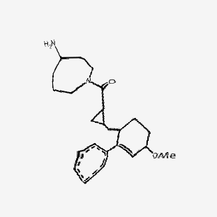 COC1C=C(c2ccccc2)C(C2CC2C(=O)N2CCCC(N)CC2)CC1